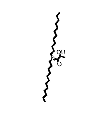 CCCCCCCCCCCCN(CCCCCCCCCCCC)C(=O)C(C)O